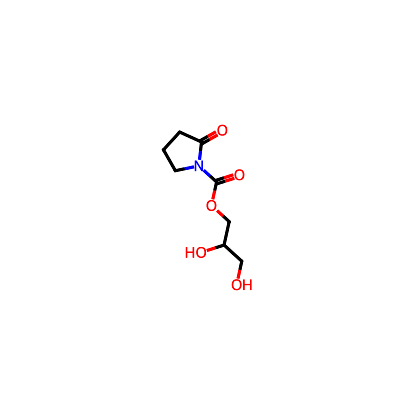 O=C1CCCN1C(=O)OCC(O)CO